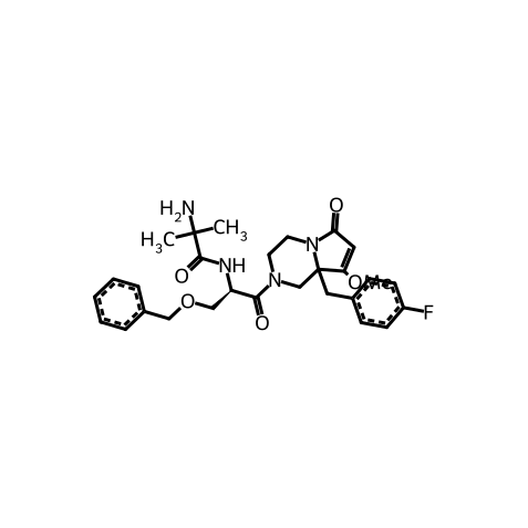 COC1=CC(=O)N2CCN(C(=O)[C@@H](COCc3ccccc3)NC(=O)C(C)(C)N)CC12Cc1ccc(F)cc1